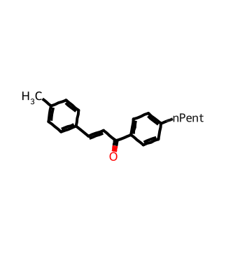 CCCCCc1ccc(C(=O)C=Cc2ccc(C)cc2)cc1